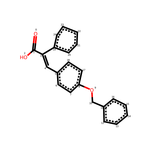 O=C(O)/C(=C/c1ccc(OCc2ccccc2)cc1)c1ccccc1